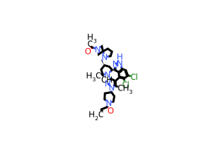 C=CC(=O)N1CCC(n2nc(N3CC[C@@H](CN4CCCC45CN(C(C)=O)C5)CC3(C)C)c(-c3c(Cl)c(Cl)cc4[nH]ncc34)c2C)CC1